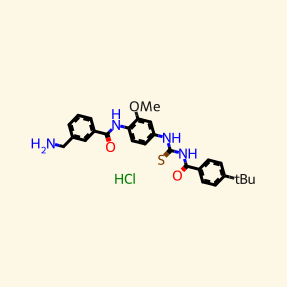 COc1cc(NC(=S)NC(=O)c2ccc(C(C)(C)C)cc2)ccc1NC(=O)c1cccc(CN)c1.Cl